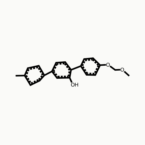 COCOc1ccc(-c2ccc(-c3ccc(C)cc3)cc2O)cc1